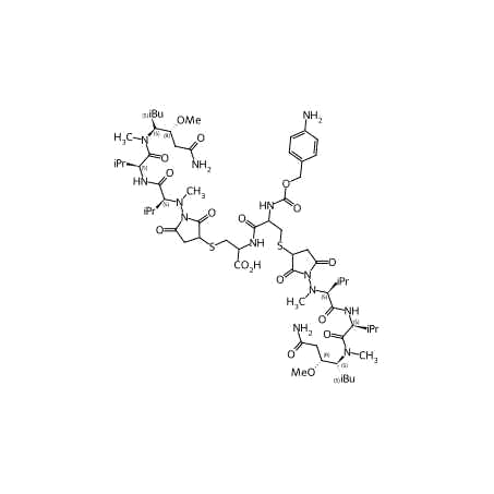 CC[C@H](C)[C@@H]([C@@H](CC(N)=O)OC)N(C)C(=O)[C@@H](NC(=O)[C@H](C(C)C)N(C)N1C(=O)CC(SCC(NC(=O)C(CSC2CC(=O)N(N(C)[C@H](C(=O)N[C@H](C(=O)N(C)[C@@H]([C@@H](C)CC)[C@@H](CC(N)=O)OC)C(C)C)C(C)C)C2=O)NC(=O)OCc2ccc(N)cc2)C(=O)O)C1=O)C(C)C